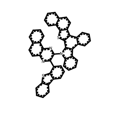 c1ccc2c(c1)ccc1nc(-c3cccc4c3sc3ccccc34)c(-n3c4ccccc4c4c5ccccc5c5c6ccc7ccccc7c6sc5c43)nc12